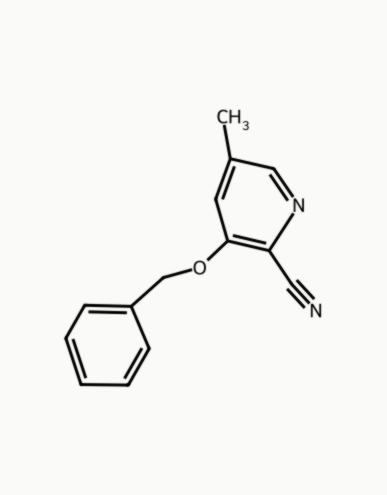 Cc1cnc(C#N)c(OCc2ccccc2)c1